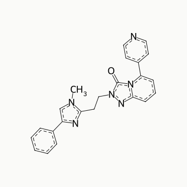 Cn1cc(-c2ccccc2)nc1CCn1nc2cccc(-c3ccncc3)n2c1=O